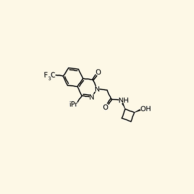 CC(C)c1nn(CC(=O)N[C@@H]2CC[C@@H]2O)c(=O)c2ccc(C(F)(F)F)cc12